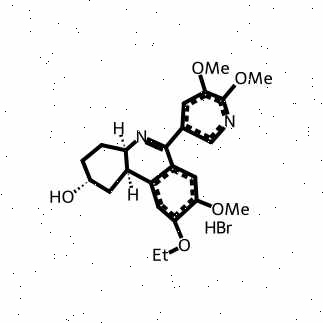 Br.CCOc1cc2c(cc1OC)C(c1cnc(OC)c(OC)c1)=N[C@@H]1CC[C@@H](O)C[C@H]21